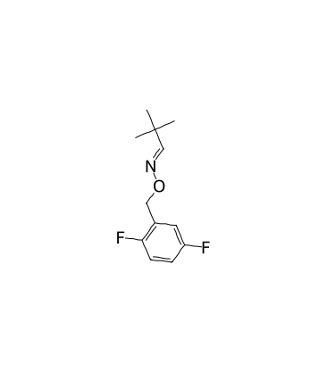 CC(C)(C)C=NOCc1cc(F)ccc1F